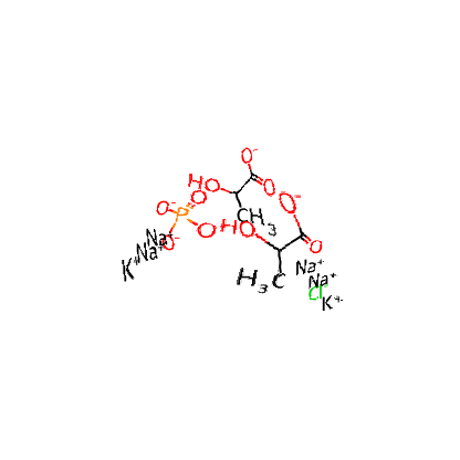 CC(O)C(=O)[O-].CC(O)C(=O)[O-].O=P([O-])([O-])[O-].[Cl-].[K+].[K+].[Na+].[Na+].[Na+].[Na+]